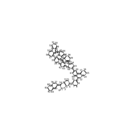 CC1Cc2cc(-c3cccc(-c4cc5ccccc5c5cc(-c6ccc7sc8c([Si](c9ccccc9)(c9ccccc9)c9cccc(-n%10c%11ccccc%11c%11ccccc%11%10)c9)cccc8c7c6)ccc45)c3)ccc2C=C1c1ccc2ccccc2c1